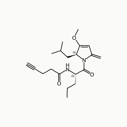 C#CCCC(=O)N[C@@H](CCC)C(=O)N1C(=C)C=C(OC)[C@@H]1CC(C)C